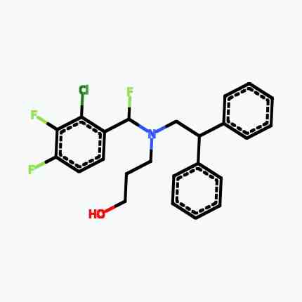 OCCCN(CC(c1ccccc1)c1ccccc1)C(F)c1ccc(F)c(F)c1Cl